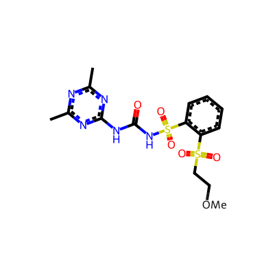 COCCS(=O)(=O)c1ccccc1S(=O)(=O)NC(=O)Nc1nc(C)nc(C)n1